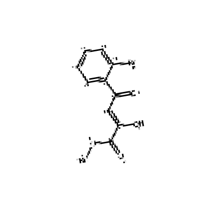 CC(C)(C)OC(=O)C(O)=CC(=O)c1ccccc1Br